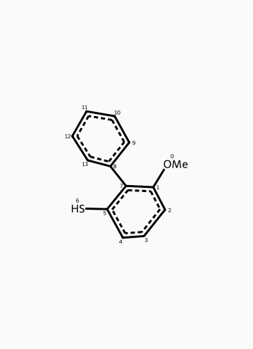 COc1cccc(S)c1-c1ccccc1